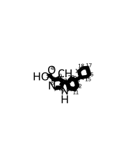 Cc1c(C(=O)O)ncc2[nH]c3ccc(C4CC=CCC4)cc3c12